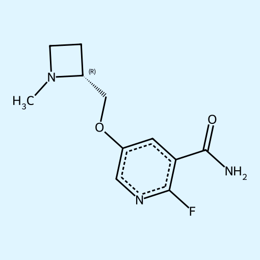 CN1CC[C@@H]1COc1cnc(F)c(C(N)=O)c1